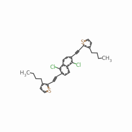 CCCCc1ccsc1C#Cc1ccc2c(Cl)c(C#Cc3sccc3CCCC)ccc2c1Cl